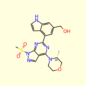 C[C@@H]1COCCN1c1nc(-c2cc(CO)cc3[nH]ccc23)nc2c1cnn2S(C)(=O)=O